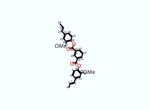 C/C=C/c1ccc(OC(=O)c2cccc(C(=O)Oc3ccc(/C=C/C)cc3OC)c2)c(OC)c1